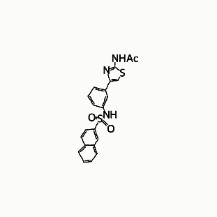 CC(=O)Nc1nc(-c2cccc(NS(=O)(=O)c3ccc4ccccc4c3)c2)cs1